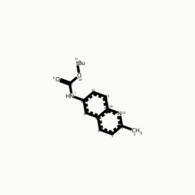 Cc1ccc2cc(NC(=O)OC(C)(C)C)ccc2n1